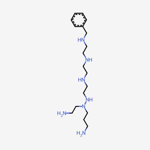 NCCCN(CCN)NCCNCCNCCNCc1ccccc1